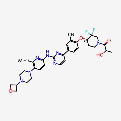 COc1nc(Nc2nccc(-c3ccc(O[C@@H]4CCN(C(=O)C(C)O)CC4(F)F)c(C#N)c3)n2)ccc1N1CCN(C2COC2)CC1